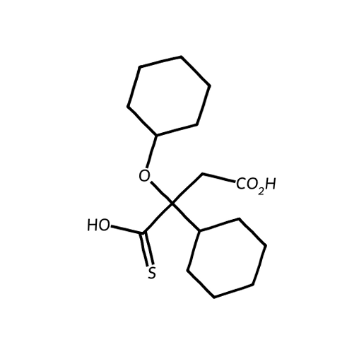 O=C(O)CC(OC1CCCCC1)(C(O)=S)C1CCCCC1